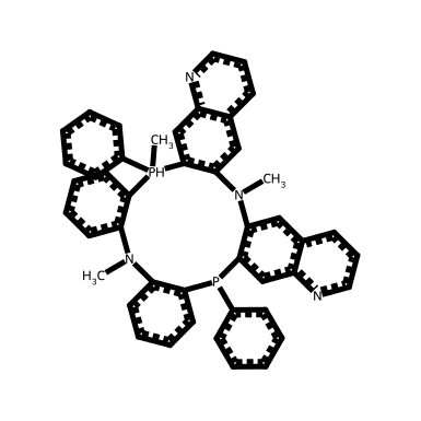 CN1c2ccccc2P(c2ccccc2)c2cc3ncccc3cc2N(C)c2cc3cccnc3cc2[PH](C)(c2ccccc2)c2ccccc21